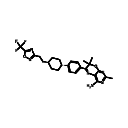 Cc1nc(N)c2c(n1)OC(C)(C)C(c1ccc([C@H]3CC[C@H](CCc4noc(C(F)(F)F)n4)CC3)cc1)=N2